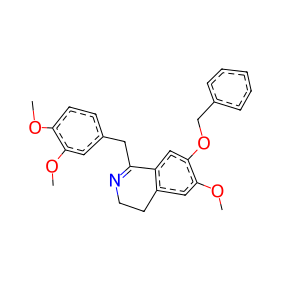 COc1ccc(CC2=NCCc3cc(OC)c(OCc4ccccc4)cc32)cc1OC